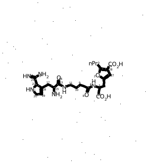 CCCc1oc(CC(NC(=O)CCCNC(=O)C(N)CC2=CCNC2C(=N)N)C(=O)O)cc1C(=O)O